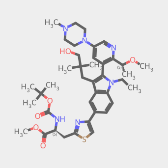 CCn1c(-c2cc(N3CCN(C)CC3)cnc2[C@H](C)OC)c(CC(C)(C)CO)c2cc(-c3csc(C[C@H](NC(=O)OC(C)(C)C)C(=O)OC)n3)ccc21